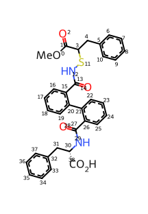 COC(=O)C(Cc1ccccc1)SNC(=O)c1ccccc1-c1ccccc1C(=O)N[C@@H](Cc1ccccc1)C(=O)O